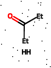 CCC(=O)CC.[HH]